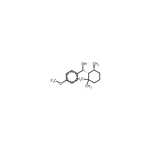 C[C@H]1CCCC(C)(C)[C@@H]1C(O)c1ccc(OC(F)(F)F)cc1